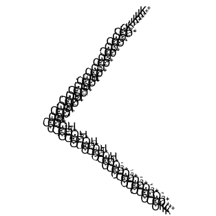 [K+].[K+].[K+].[K+].[K+].[K+].[K+].[K+].[K+].[K+].[O-][Cl+3]([O-])([O-])O.[O-][Cl+3]([O-])([O-])O.[O-][Cl+3]([O-])([O-])O.[O-][Cl+3]([O-])([O-])O.[O-][Cl+3]([O-])([O-])O.[O-][Cl+3]([O-])([O-])O.[O-][Cl+3]([O-])([O-])O.[O-][Cl+3]([O-])([O-])O.[O-][Cl+3]([O-])([O-])O.[O-][Cl+3]([O-])([O-])O.[O-][Cl+3]([O-])([O-])[O-].[O-][Cl+3]([O-])([O-])[O-].[O-][Cl+3]([O-])([O-])[O-].[O-][Cl+3]([O-])([O-])[O-].[O-][Cl+3]([O-])([O-])[O-].[O-][Cl+3]([O-])([O-])[O-].[O-][Cl+3]([O-])([O-])[O-].[O-][Cl+3]([O-])([O-])[O-].[O-][Cl+3]([O-])([O-])[O-].[O-][Cl+3]([O-])([O-])[O-]